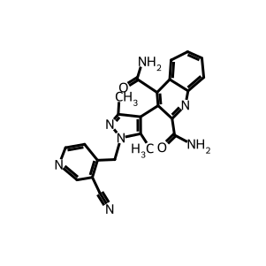 Cc1nn(Cc2ccncc2C#N)c(C)c1-c1c(C(N)=O)nc2ccccc2c1C(N)=O